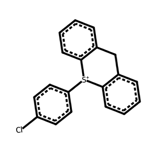 Clc1ccc([S+]2c3ccccc3Cc3ccccc32)cc1